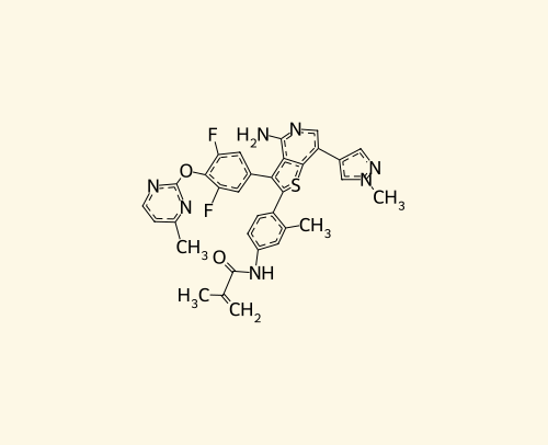 C=C(C)C(=O)Nc1ccc(-c2sc3c(-c4cnn(C)c4)cnc(N)c3c2-c2cc(F)c(Oc3nccc(C)n3)c(F)c2)c(C)c1